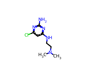 CN(C)CCNc1cc(Cl)nc(N)n1